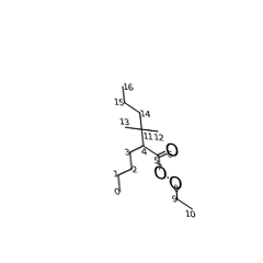 CCCCC(C(=O)OOCC)C(C)(C)CCC